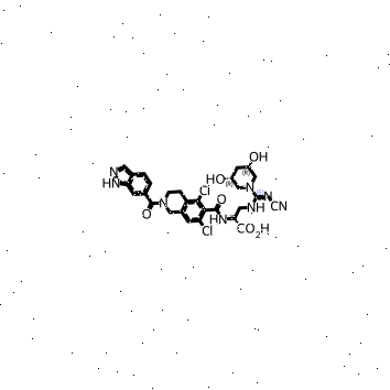 N#C/N=C(\NC[C@H](NC(=O)c1c(Cl)cc2c(c1Cl)CCN(C(=O)c1ccc3cn[nH]c3c1)C2)C(=O)O)N1C[C@H](O)C[C@@H](O)C1